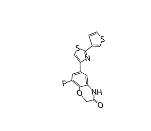 O=C1COc2c(F)cc(-c3csc(-c4ccsc4)n3)cc2N1